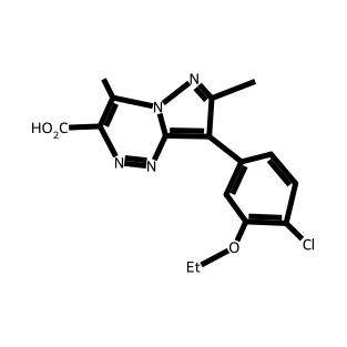 CCOc1cc(-c2c(C)nn3c(C)c(C(=O)O)nnc23)ccc1Cl